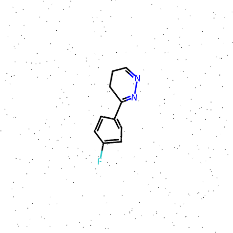 Fc1ccc(C2=NN=CCC2)cc1